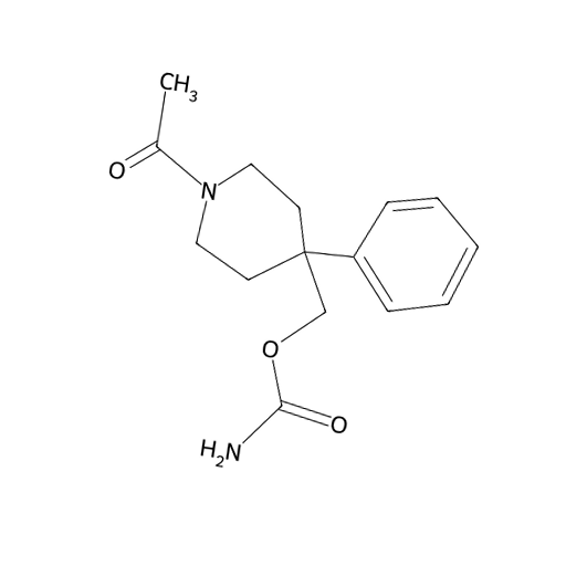 CC(=O)N1CCC(COC(N)=O)(c2ccccc2)CC1